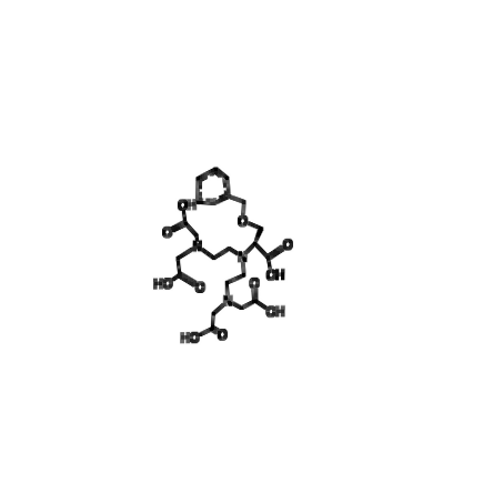 O=C(O)CN(CCN(CCN(CC(=O)O)CC(=O)O)[C@@H](COCc1ccccc1)C(=O)O)CC(=O)O